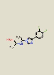 C=C(NC(C)CO)n1cnc(-c2ccc(F)c(F)c2)c1